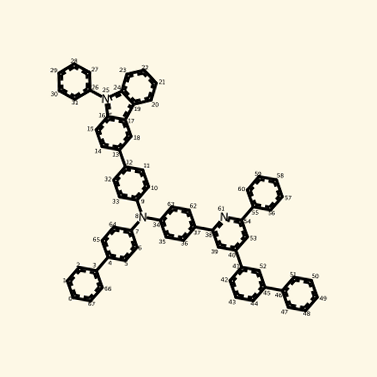 c1ccc(-c2ccc(N(c3ccc(-c4ccc5c(c4)c4ccccc4n5-c4ccccc4)cc3)c3ccc(-c4cc(-c5cccc(-c6ccccc6)c5)cc(-c5ccccc5)n4)cc3)cc2)cc1